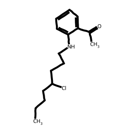 CCCCC(Cl)CCCNc1ccccc1C(C)=O